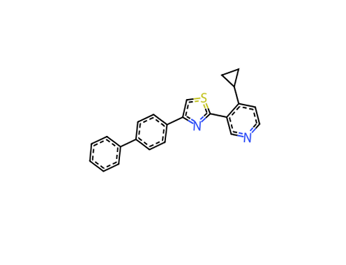 c1ccc(-c2ccc(-c3csc(-c4cnccc4C4CC4)n3)cc2)cc1